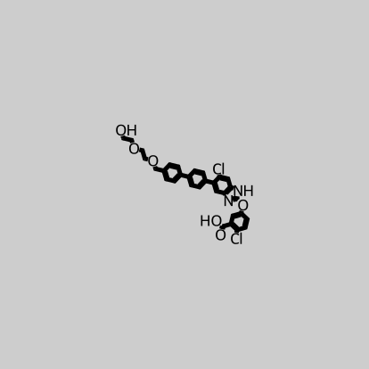 O=C(O)c1cc(Oc2nc3cc(-c4ccc(-c5ccc(COCCOCCO)cc5)cc4)c(Cl)cc3[nH]2)ccc1Cl